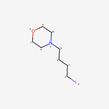 ICCCCN1CCOCC1